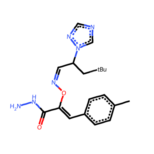 Cc1ccc(C=C(O/N=C\C(CC(C)(C)C)n2cncn2)C(=O)NN)cc1